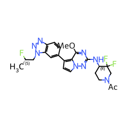 COc1nc(N[C@@H]2CCN(C(C)=O)CC2(F)F)nn2ccc(-c3ccc4nnn(C[C@H](C)F)c4c3)c12